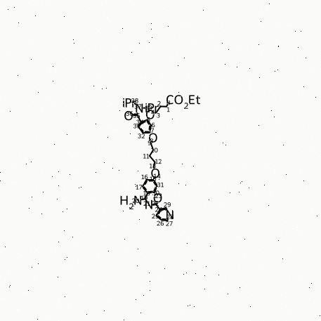 CCOC(=O)CCCOc1cc(OCCCCCOc2ccc(/C(N)=N\C(=O)c3cccnc3)cc2)ccc1C(=O)N(C(C)C)C(C)C